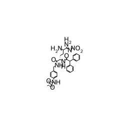 CS(=O)(=O)Nc1ccc(CNC(=O)[C@H](CCC(N)C(N)=N[N+](=O)[O-])NC(=O)C(c2ccccc2)c2ccccc2)cc1